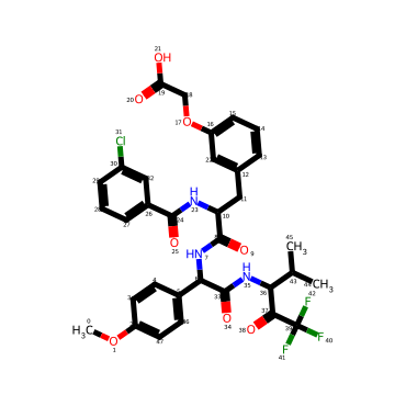 COc1ccc(C(NC(=O)C(Cc2cccc(OCC(=O)O)c2)NC(=O)c2cccc(Cl)c2)C(=O)NC(C(=O)C(F)(F)F)C(C)C)cc1